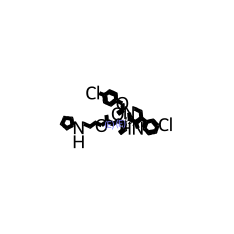 C=C/C(=C\C=C(/C)OCCCNC1CCCC1)[C@H]1c2[nH]c3ccc(Cl)cc3c2CCN1C(=O)Oc1ccc(Cl)cc1